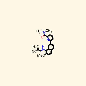 C=C(C#N)CNc1c(OC)ccc2ccc(-c3cccc(C(=O)N(C)C)n3)cc12